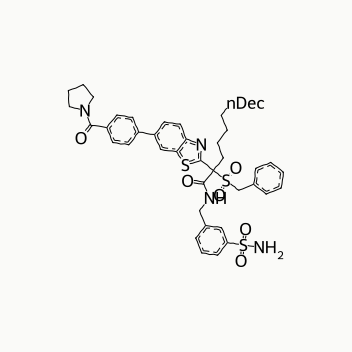 CCCCCCCCCCCCCCC(C(=O)NCc1cccc(S(N)(=O)=O)c1)(c1nc2ccc(-c3ccc(C(=O)N4CCCC4)cc3)cc2s1)S(=O)(=O)Cc1ccccc1